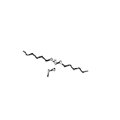 CCCCCCO[SiH](OCCCCCC)OOC